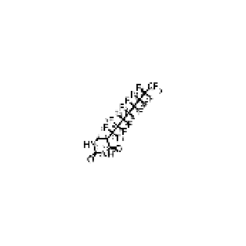 O=C1NCC(C(F)(F)C(F)(F)C(F)(F)C(F)(F)C(F)(F)C(F)(F)C(F)(F)C(F)(F)F)C(=O)N1